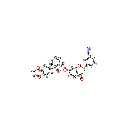 N#Cc1cccc(COc2cc(OCc3cccc(-c4ccc5c(c4)OCCO5)c3Br)ccc2C=O)c1